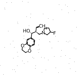 C=C[C@@H](CN1CCC(F)C1)[C@@H](O)c1ccc2c(c1)OCCO2